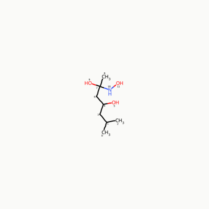 CC(C)CC(O)CC(C)(O)NO